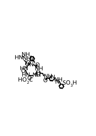 N=C(N)NCCC[C@@H]1NC(=O)CNC(=O)[C@@H](CC(=O)O)NC(=O)[C@@H](CCCCNC(=O)c2ccc(NN=Cc3ccccc3S(=O)(=O)O)nc2)NC(=O)[C@@H](Cc2ccccc2)NC1=O